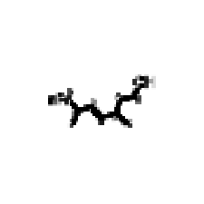 CCCC(C)C=CC(C)CCO